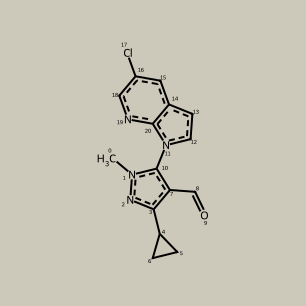 Cn1nc(C2CC2)c(C=O)c1-n1ccc2cc(Cl)cnc21